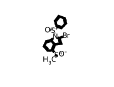 C[S+]([O-])c1cccc2c1cc(Br)n2[S+]([O-])c1ccccc1